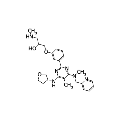 CNCC(O)COc1cccc(-c2nc(N[C@@H]3CCOC3)c(C)c(N(C)Cc3ccccn3)n2)c1